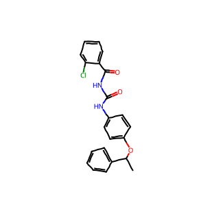 CC(Oc1ccc(NC(=O)NC(=O)c2ccccc2Cl)cc1)c1ccccc1